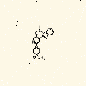 C=S1(=O)CCN(c2cc(-c3nc4ccccc4n3C)c(Cl)cn2)CC1